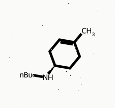 CCCCN[C@H]1CC=C(C)CC1